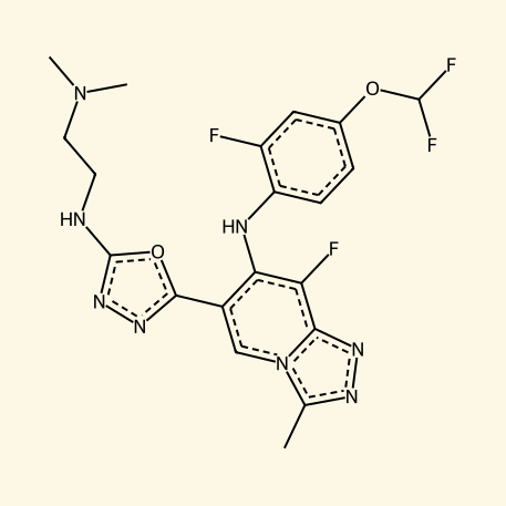 Cc1nnc2c(F)c(Nc3ccc(OC(F)F)cc3F)c(-c3nnc(NCCN(C)C)o3)cn12